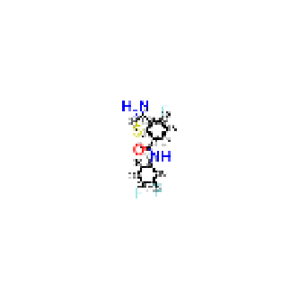 NC1CSc2c(C(=O)Nc3ccc(F)c(F)c3)ccc(F)c21